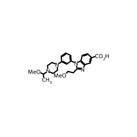 COCCc1nc2cc(C(=O)O)ccc2n1-c1cccc(N2CCN(C(C)OC)CC2)c1